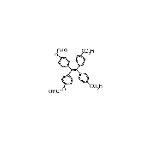 O=COc1ccc(C(=C(c2ccc(C(=O)O)cc2)c2ccc(C(=O)O)cc2)c2ccc(OC=O)cc2)cc1